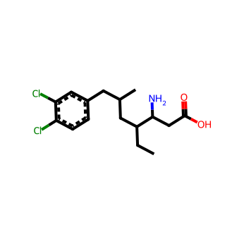 CCC(CC(C)Cc1ccc(Cl)c(Cl)c1)C(N)CC(=O)O